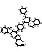 C#C/C=C\c1c(C)oc2c(-c3ccc(-c4nc(-c5ccccc5)nc5c4ccc4ccccc45)cc3)c3oc4ccccc4c3nc12